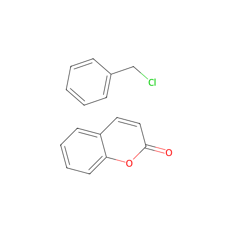 ClCc1ccccc1.O=c1ccc2ccccc2o1